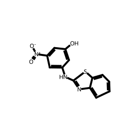 O=[N+]([O-])c1cc(O)cc(Nc2nc3ccccc3s2)c1